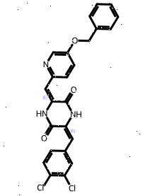 O=c1[nH]/c(=C/c2ccc(OCc3ccccc3)cn2)c(=O)[nH]/c1=C/c1ccc(Cl)c(Cl)c1